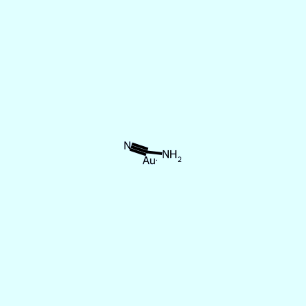 N#CN.[Au]